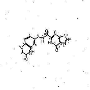 O=C1COc2ccc(CNC(=O)c3nc4snnc4c(=O)[nH]3)cc2N1